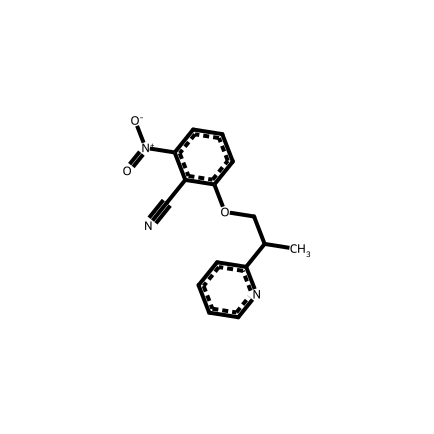 CC(COc1cccc([N+](=O)[O-])c1C#N)c1ccccn1